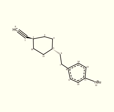 C#C[C@H]1CC[C@H](CCc2ccc(CCCC)cc2)CC1